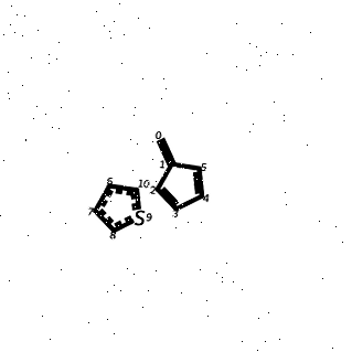 C=C1C=CC=C1.c1ccsc1